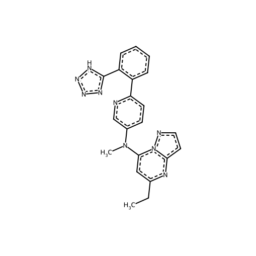 CCc1cc(N(C)c2ccc(-c3ccccc3-c3nnn[nH]3)nc2)n2nccc2n1